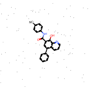 N#Cc1ccc(NC(=O)c2cc(-c3ccccc3)c3cccnc3c2O)cc1